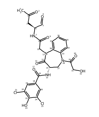 CC(=O)C[C@@H](C=O)NC(=O)CN1C(=O)[C@@H](NC(=O)c2cc(Cl)c(O)c(Cl)c2)CN(C(=O)CO)c2ccccc21